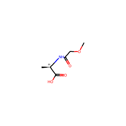 COCC(=O)N[C@H](C)C(=O)O